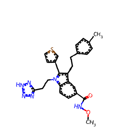 CONC(=O)c1ccc2c(c1)c(CCc1ccc(C)cc1)c(-c1ccsc1)n2CCc1nn[nH]n1